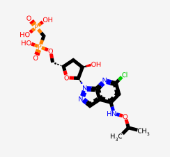 CC(C)ONc1cc(Cl)nc2c1cnn2[C@@H]1O[C@H](COP(=O)(O)CP(=O)(O)O)C[C@H]1O